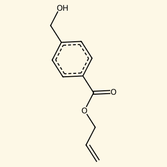 C=CCOC(=O)c1ccc(CO)cc1